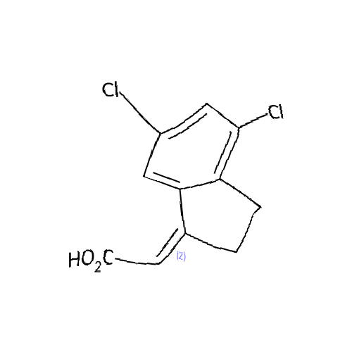 O=C(O)/C=C1/CCc2c(Cl)cc(Cl)cc21